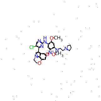 COc1cc(N(C)CCN2CCCC2)c([N+](=O)[O-])cc1Nc1ncc(Cl)c(-c2cn3c4c(cccc24)OCC3)n1